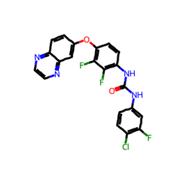 O=C(Nc1ccc(Cl)c(F)c1)Nc1ccc(Oc2ccc3nccnc3c2)c(F)c1F